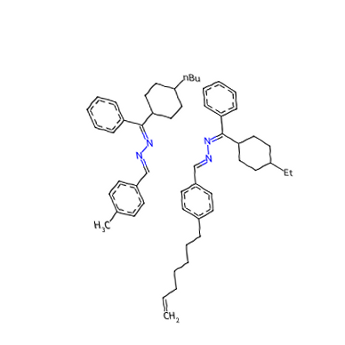 C=CCCCCCc1ccc(C=NN=C(c2ccccc2)C2CCC(CC)CC2)cc1.CCCCC1CCC(C(=NN=Cc2ccc(C)cc2)c2ccccc2)CC1